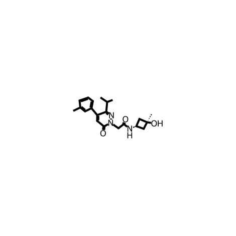 Cc1cccc(-c2cc(=O)n(CC(=O)N[C@H]3C[C@](C)(O)C3)nc2C(C)C)c1